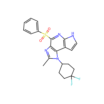 Cc1nc2c(S(=O)(=O)c3ccccc3)nc3[nH]ccc3c2n1C1CCC(F)(F)CC1